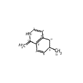 C=C1NC=CC2=C1C=CC(C)C2